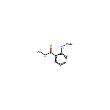 CONc1ccccc1C(=O)CC(C)=O